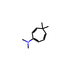 CN(C)C1=CC=CC(C)(C)C=C1